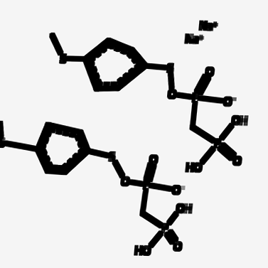 CSc1ccc(SOP(=O)([O-])CP(=O)(O)O)cc1.CSc1ccc(SOP(=O)([O-])CP(=O)(O)O)cc1.[Na+].[Na+]